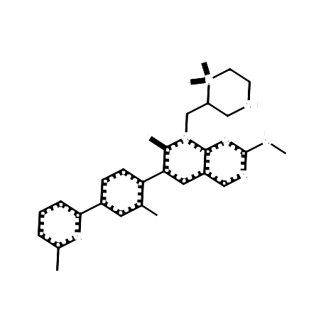 CNc1ncc2cc(-c3ccc(-c4cccc(C)n4)cc3Cl)c(=O)n(CC3CNCCS3(=O)=O)c2n1